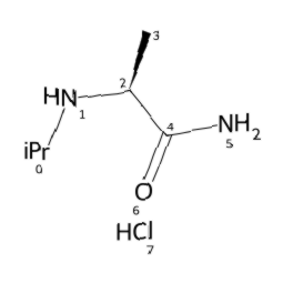 CC(C)N[C@@H](C)C(N)=O.Cl